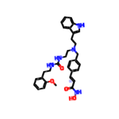 COc1ccccc1CCNC(=O)NCCN(CCc1c[nH]c2ccccc12)Cc1ccc(/C=C/C(=O)NO)cc1